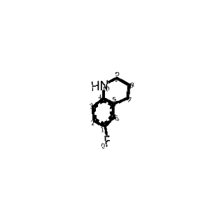 Fc1ccc2c(c1)CC[CH]N2